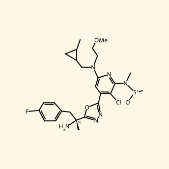 COCCN(CC1CC1C)c1cc(-c2nnc([C@](C)(N)Cc3ccc(F)cc3)o2)c(Cl)c(N(C)[S+](C)[O-])n1